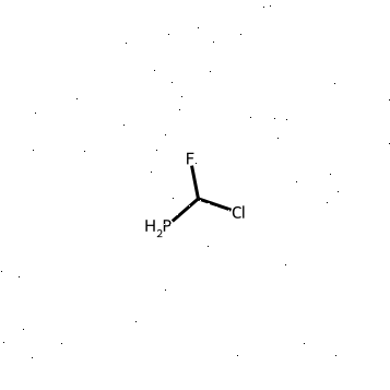 FC(P)Cl